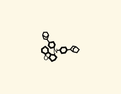 c1ccc2c(c1)oc1cccc(N(c3ccc(C4CC5CCC4C5)cc3)c3ccc(C4CC5CCC4C5)cc3)c12